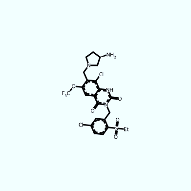 CCS(=O)(=O)c1ccc(Cl)cc1Cn1c(=O)[nH]c2c(Cl)c(CN3CC[C@@H](N)C3)c(OC(F)(F)F)cc2c1=O